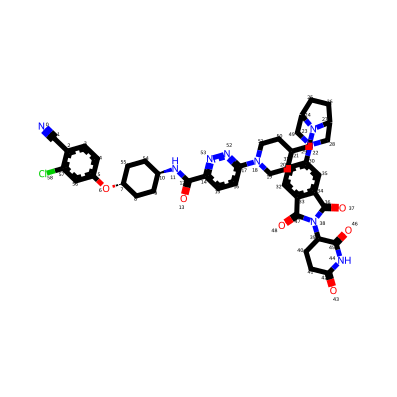 N#Cc1ccc(O[C@H]2CC[C@H](NC(=O)c3ccc(N4CCC(CN5C6CCC5CN(c5ccc7c(c5)C(=O)N(C5CCC(=O)NC5=O)C7=O)C6)CC4)nn3)CC2)cc1Cl